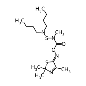 CCCCN(CCCC)SN(C)C(=O)ON=C1SC(C)(C)N=C1C